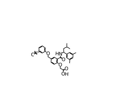 [C-]#[N+]c1cccc(OCc2ccc(OCC(=O)O)c(C(=O)NC(CC(C)C)c3cc(C)cc(C)c3)c2)c1